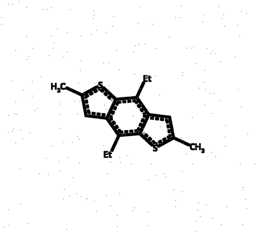 CCc1c2cc(C)sc2c(CC)c2cc(C)sc12